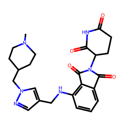 CN1CCC(Cn2cc(CNc3cccc4c3C(=O)N(C3CCC(=O)NC3=O)C4=O)cn2)CC1